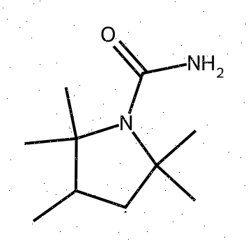 CC1[CH]C(C)(C)N(C(N)=O)C1(C)C